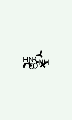 C=CC(=O)N[C@@H](CC(C)C)C(=O)NC(C)(C)C